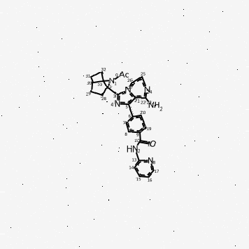 CC(=O)N1C2(c3nc(-c4ccc(C(=O)Nc5ccccn5)cc4)c4c(N)nccn34)CCC3CCC312